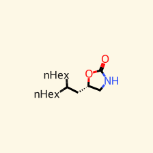 CCCCCCC(CCCCCC)C[C@H]1CNC(=O)O1